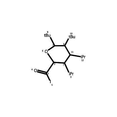 CC(C)C1C(C(=O)I)OC(C(C)(C)C)C(C(C)(C)C)C1C(C)C